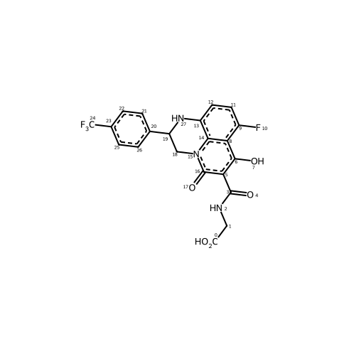 O=C(O)CNC(=O)c1c(O)c2c(F)ccc3c2n(c1=O)CC(c1ccc(C(F)(F)F)cc1)N3